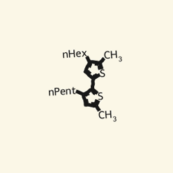 CCCCCCc1cc(-c2sc(C)cc2CCCCC)sc1C